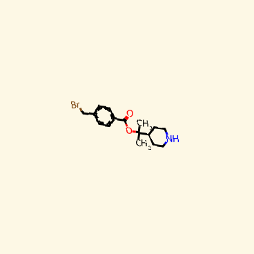 CC(C)(OC(=O)c1ccc(CBr)cc1)C1CCNCC1